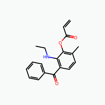 C=CC(=O)Oc1c(C)ccc(C(=O)c2ccccc2)c1NCC